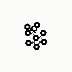 CC12Cc3ccccc3CC1(c1ccccc1)c1ccccc1N2c1cc2c3c(c1)N(c1ccccc1)c1ccccc1B3c1ccccc1N2c1ccccc1